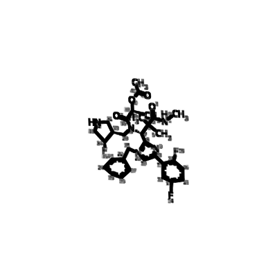 CNC(=O)C(C)(C)[C@H](c1nc(-c2cc(F)ccc2F)cn1Cc1ccccc1)N(C[C@@H]1CNC[C@@H]1F)C(=O)[C@H](C)OC(C)=O